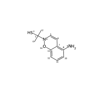 CC(C)(S)N1C=Cc2c(N)cccc2O1